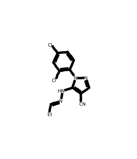 CCC=NNc1c(C#N)cnn1-c1ccc(Cl)cc1Cl